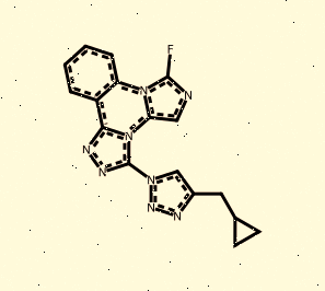 Fc1ncc2n1c1ccccc1c1nnc(-n3cc(CC4CC4)nn3)n12